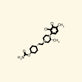 Cc1ccc(N2CCN(CC[C@H]3CC[C@H](OC(N)=O)CC3)C[C@H]2C)c(Cl)c1Cl